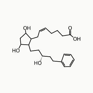 O=C(O)CCC/C=C\CC1C(O)CC(O)C1CC[C@@H](O)CCc1ccccc1